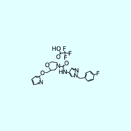 O=C(Nc1cnn(Cc2ccc(F)cc2)c1)N1CCOC(COc2ccccn2)C1.O=C(O)C(F)(F)F